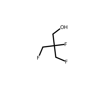 OCC(F)(CF)CF